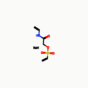 C=CNC(=O)COS(=O)(=O)C=C.[NaH]